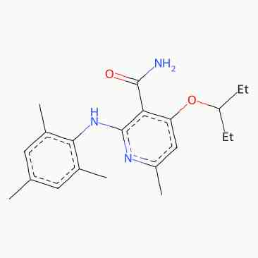 CCC(CC)Oc1cc(C)nc(Nc2c(C)cc(C)cc2C)c1C(N)=O